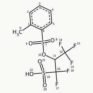 Cc1ccccc1S(=O)(=O)OC(C(F)(F)F)C(F)(F)S(=O)(=O)O